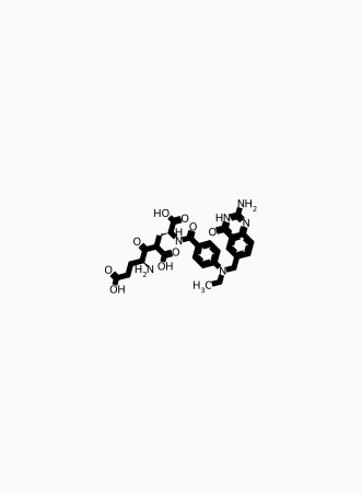 CCN(Cc1ccc2nc(N)[nH]c(=O)c2c1)c1ccc(C(=O)N[C@H](CC(C(=O)O)C(=O)[C@H](N)CCC(=O)O)C(=O)O)cc1